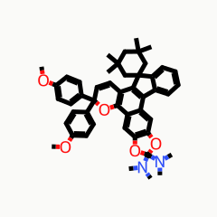 COc1ccc(C2(c3ccc(OC)cc3)C=Cc3c4c(c5cc6c(cc5c3O2)OC(N(C)C)(N(C)C)O6)-c2ccccc2C42CC(C)(C)CC(C)(C)C2)cc1